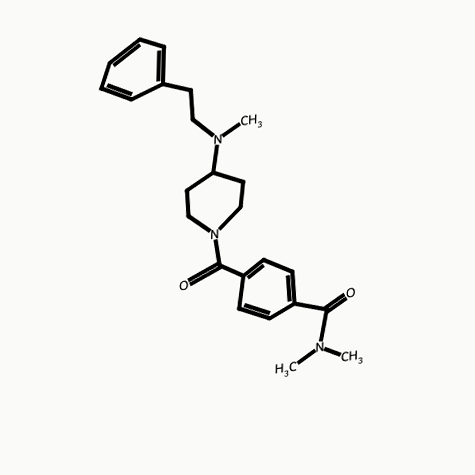 CN(C)C(=O)c1ccc(C(=O)N2CCC(N(C)CCc3ccccc3)CC2)cc1